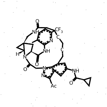 CC(=O)c1nn2c3c(cc(NC(=O)C4CC4)cc13)CCCCCCC(=O)NC[C@@]13C[C@@H](C(=O)Nc4nc(C(F)(F)F)ccc4C)N(C(=O)C2)[C@@H]1C3